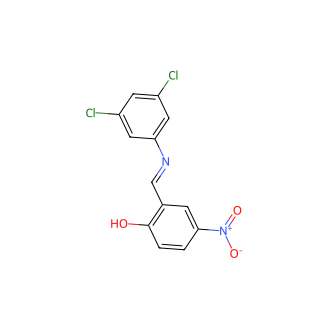 O=[N+]([O-])c1ccc(O)c(/C=N/c2cc(Cl)cc(Cl)c2)c1